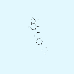 Cc1nsc2[nH]cc(C(=O)Nc3ccc(N4CCC(F)(F)C4)cc3C(F)(F)F)c(=O)c12